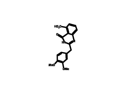 COc1ccc(Cc2nc3cccc(C(=O)O)c3c(=O)[nH]2)cc1OC